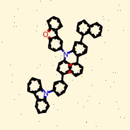 c1ccc(-c2ccc(-c3cccc4ccccc34)cc2N(c2ccc(-c3cccc(-n4c5ccccc5c5ccccc54)c3)cc2)c2ccc3oc4ccccc4c3c2)cc1